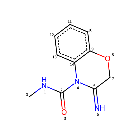 CNC(=O)N1C(=N)COc2ccccc21